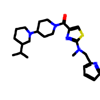 CC(C)C1CCCN(C2CCN(C(=O)c3csc(N(C)Cc4ccccn4)n3)CC2)C1